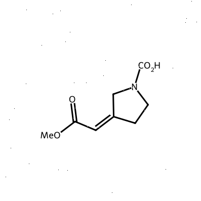 COC(=O)C=C1CCN(C(=O)O)C1